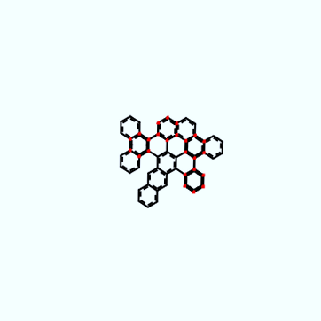 c1ccc(-c2ccc3ccccc3c2-c2c(-c3ccccc3-c3cccc4ccccc34)c(-c3c(-c4ccccc4)ccc4ccccc34)c3cc4ccccc4cc3c2-c2ccccc2-c2cccc3ccccc23)cc1